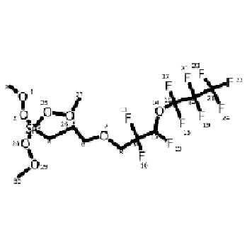 COO[Si](CCCOCC(F)(F)C(F)OC(F)(F)C(F)(F)C(F)(F)F)(OOC)OOC